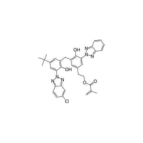 C=C(C)C(=O)OCCc1cc(Cc2cc(C(C)(C)C)cc(-n3nc4ccc(Cl)cc4n3)c2O)c(O)c(-n2nc3ccccc3n2)c1